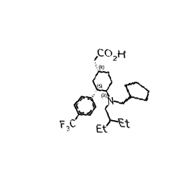 CCC(CC)CN(CC1CCCC1)[C@@H]1CC[C@@H](CC(=O)O)C[C@H]1c1ccc(C(F)(F)F)cc1